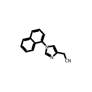 N#CCc1cn(-c2cccc3ccccc23)cn1